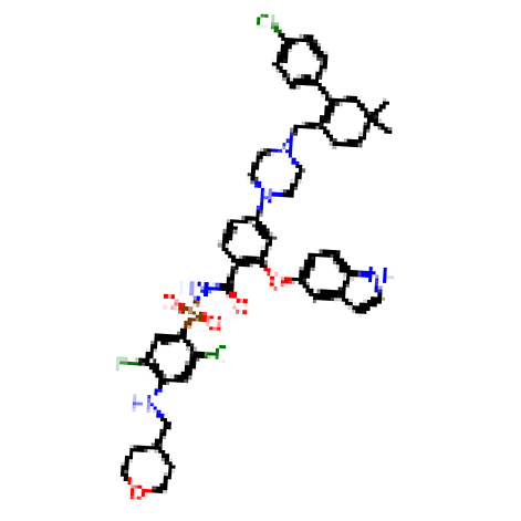 CC1(C)CCC(CN2CCN(c3ccc(C(=O)NS(=O)(=O)c4cc(F)c(NCC5CCOCC5)cc4Cl)c(Oc4ccc5[nH]ccc5c4)c3)CC2)=C(c2ccc(Cl)cc2)C1